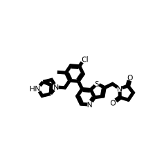 Cc1cc(Cl)cc(-c2ccnc3cc(CN4C(=O)CCC4=O)sc23)c1CN1CC2CC1CN2